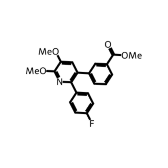 COC(=O)c1cccc(-c2cc(OC)c(OC)nc2-c2ccc(F)cc2)c1